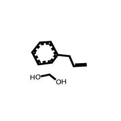 C=CCc1ccccc1.OCO